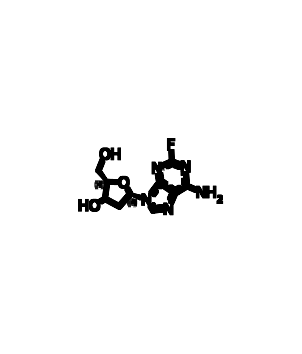 Nc1nc(F)nc2c1ncn2[C@H]1CC(O)[C@@H](CO)O1